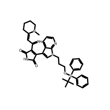 CN1CCCC/C1=C/C(=N)C1=C(c2cn(CCCO[Si](c3ccccc3)(c3ccccc3)C(C)(C)C)c3ncccc23)C(=O)NC1=O